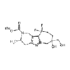 CC1Cc2nn3c(c2CN1C(=O)OC(C)(C)C)C(F)(F)CCC(O)(CO)C3